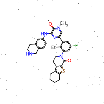 CCc1c(-c2cn(C)c(=O)c(Nc3ccc4c(c3)CCNC4)n2)cc(F)cc1N1CCc2c(sc3c2CCCC3)C1=O